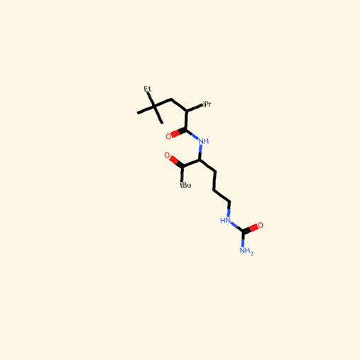 CCC(C)(C)CC(C(=O)NC(CCCNC(N)=O)C(=O)C(C)(C)C)C(C)C